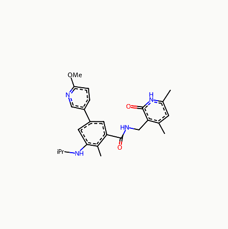 COc1ccc(-c2cc(NC(C)C)c(C)c(C(=O)NCc3c(C)cc(C)[nH]c3=O)c2)cn1